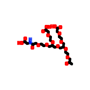 CC(=O)COCCOC(COCCOCC(=O)O)COCC(COCCOCC(=O)NCC(=O)O)OCCOCC(=O)O